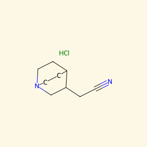 Cl.N#CCC1CN2CCC1CC2